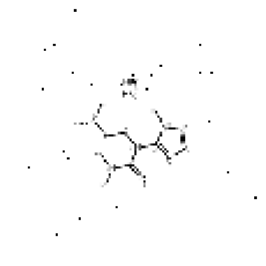 Br.Br.CN(C)CCN(C(=O)N(C)C)c1nccn1C